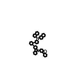 c1cc(-c2ccccc2-c2ccc3c(c2)c2ccccc2n3-c2ccc3oc4ccccc4c3c2)cc(N(c2ccc3ccccc3c2)c2cccc3ccccc23)c1